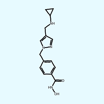 O=C(NO)c1ccc(Cn2cc(CNC3CC3)cn2)cc1